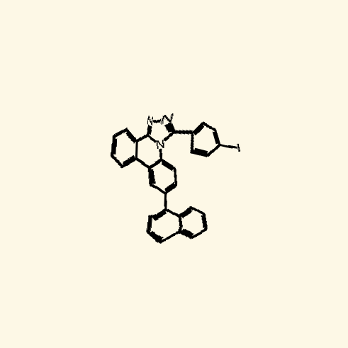 Ic1ccc(-c2nnc3c4ccccc4c4cc(-c5cccc6ccccc56)ccc4n23)cc1